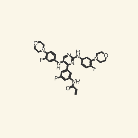 C=CC(=O)Nc1cc(F)cc(-c2nc(NC3C=CC(F)=C(N4CCOCC4)C3)ncc2Nc2ccc(N3CCOCC3)c(F)c2)c1